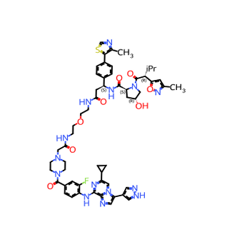 Cc1cc([C@H](C(=O)N2C[C@H](O)C[C@H]2C(=O)N[C@@H](CC(=O)NCCOCCNC(=O)CN2CCN(C(=O)c3ccc(Nc4nc(C5CC5)cn5c(-c6cn[nH]c6)cnc45)c(F)c3)CC2)c2ccc(-c3scnc3C)cc2)C(C)C)on1